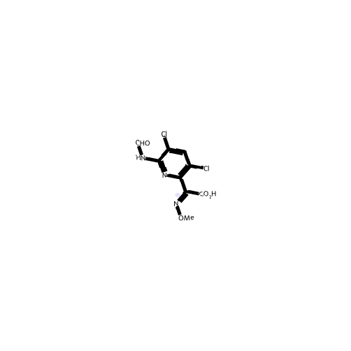 CO/N=C(\C(=O)O)c1nc(NC=O)c(Cl)cc1Cl